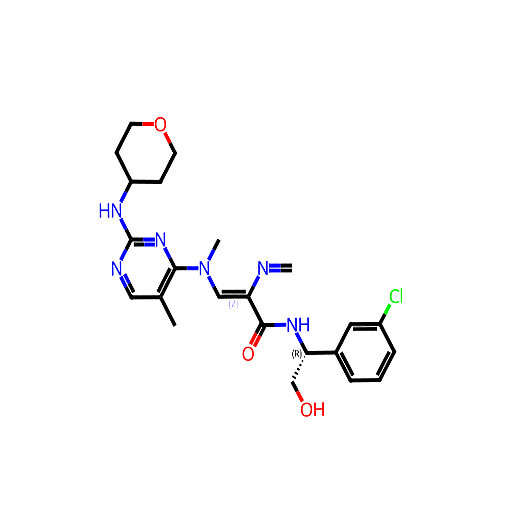 C=N/C(=C\N(C)c1nc(NC2CCOCC2)ncc1C)C(=O)N[C@@H](CO)c1cccc(Cl)c1